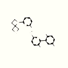 Cc1ccc(F)cc1-c1nc(NSc2cccc(N3CCC34CNC4)n2)ccc1Cl